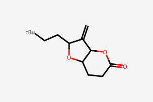 C=C1C(CCC(C)(C)C)OC2CCC(=O)OC12